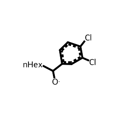 CCCCCCC([O])c1ccc(Cl)c(Cl)c1